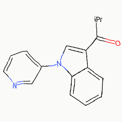 CC(C)C(=O)c1cn(-c2cccnc2)c2ccccc12